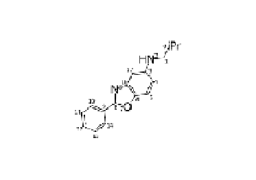 CC(C)CNc1ccc2oc(-c3ccccc3)nc2c1